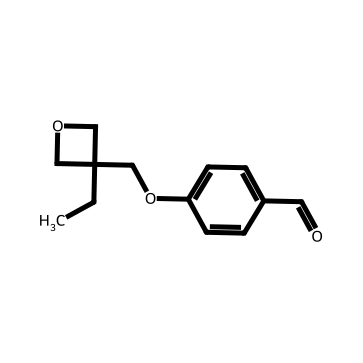 CCC1(COc2ccc(C=O)cc2)COC1